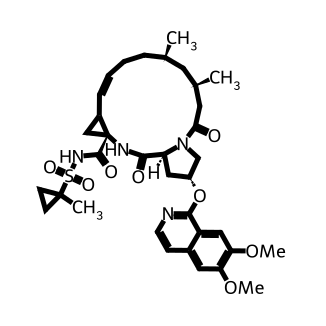 COc1cc2ccnc(O[C@@H]3C[C@H]4C(=O)N[C@]5(C(=O)NS(=O)(=O)C6(C)CC6)CC5/C=C\CC[C@@H](C)C[C@@H](C)CC(=O)N4C3)c2cc1OC